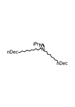 CCCCCCCCCCCCCCCCCCCC1N(CCCCCCCCCCCCCCCCCC)C=CN1C(C)C